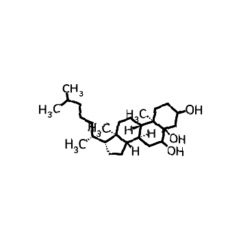 CC(C)CCC[C@@H](C)[C@H]1CC[C@H]2[C@@H]3CC(O)C4(O)CC(O)CC[C@]4(C)[C@H]3CC[C@]12C